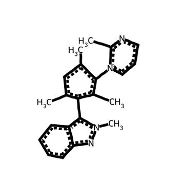 Cc1cc(C)c(-[n+]2cccnc2C)c(C)c1-c1c2ccccc2nn1C